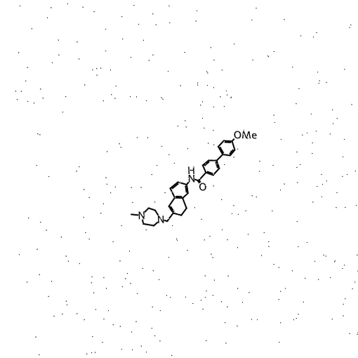 COc1ccc(-c2ccc(C(=O)Nc3ccc4c(c3)CCC(CN3CCN(C)CC3)=C4)cc2)cc1